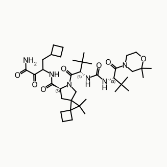 CC1(C)CN(C(=O)[C@@H](NC(=O)N[C@H](C(=O)N2CC3(C[C@H]2C(=O)NC(CC2CCC2)C(=O)C(N)=O)C(C)(C)C32CCC2)C(C)(C)C)C(C)(C)C)CCO1